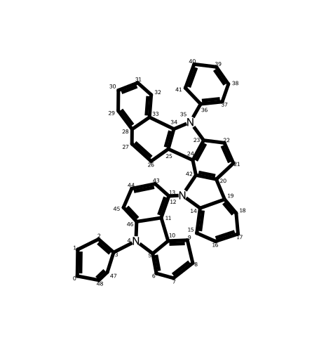 c1ccc(-n2c3ccccc3c3c(-n4c5ccccc5c5ccc6c(c7ccc8ccccc8c7n6-c6ccccc6)c54)cccc32)cc1